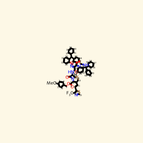 COc1ccc(COC(=O)C2=C(C=Cc3scnc3C(F)(F)F)CS[C@H]3C(NC(=O)C(=NOc4ccccc4C(c4ccccc4)c4ccccc4)c4csc(NC(c5ccccc5)(c5ccccc5)c5ccccc5)n4)C(=O)N23)cc1